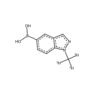 [2H]C([2H])([2H])n1ncc2cc(B(O)O)ccc21